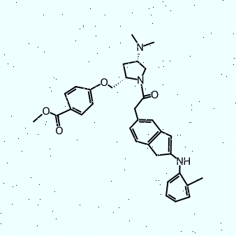 COC(=O)c1ccc(OC[C@@H]2C[C@H](N(C)C)CN2C(=O)Cc2ccc3c(c2)C=C(Nc2ccccc2C)C3)cc1